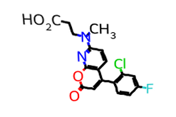 CN(CCC(=O)O)c1ccc2c(-c3ccc(F)cc3Cl)cc(=O)oc2n1